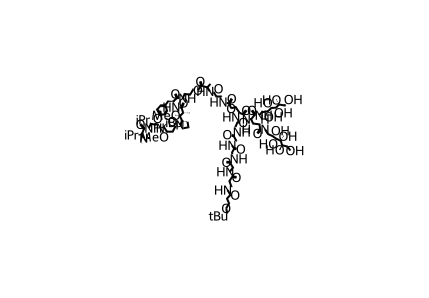 CC[C@H](C)[C@@H]([C@@H](CC(=O)N1CCC[C@H]1[C@H](OC)[C@@H](C)C(=O)N[C@@H](Cc1ccccc1)C(=O)NCCCOC(=O)C(C)NC(=O)CCNC(=O)OCC(NC(=O)CNC(=O)CNC(=O)CNC(=O)CNC(=O)CCNC(=O)CCOCC(C)(C)C)C(=O)NC(CCC(=O)NC[C@H](O)[C@@H](O)[C@H](O)[C@H](O)CO)C(=O)NC[C@H](O)[C@@H](O)[C@H](O)[C@H](O)CO)OC)N(C)C(=O)[C@@H](NC(=O)[C@H](C(C)C)N(C)C)C(C)C